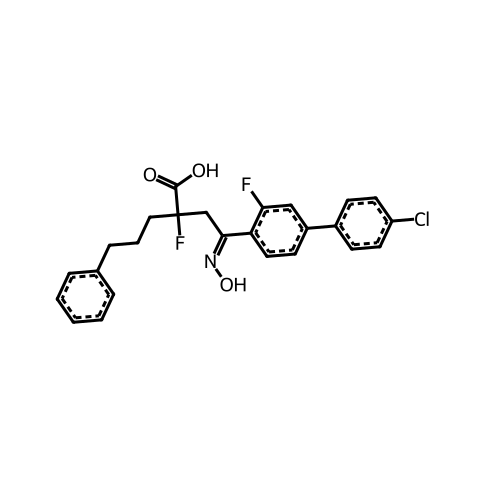 O=C(O)C(F)(CCCc1ccccc1)CC(=NO)c1ccc(-c2ccc(Cl)cc2)cc1F